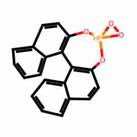 c1ccc2c3c(ccc2c1)O[PH]1(OO1)Oc1ccc2ccccc2c1-3